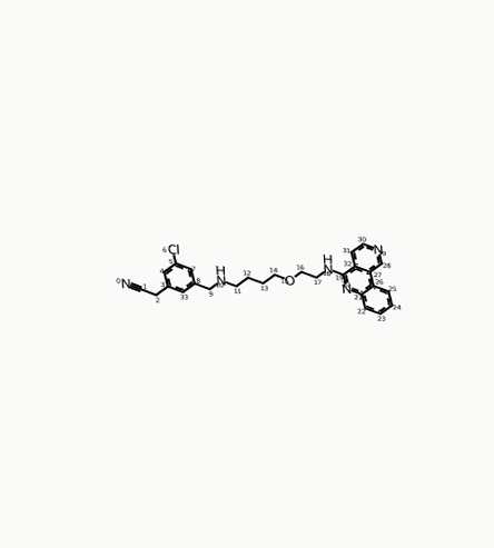 N#CCc1cc(Cl)cc(CNCCCCOCCNc2nc3ccccc3c3cnccc23)c1